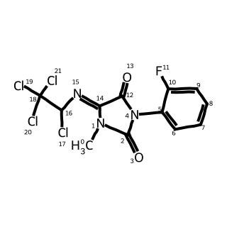 CN1C(=O)N(c2ccccc2F)C(=O)/C1=N/C(Cl)C(Cl)(Cl)Cl